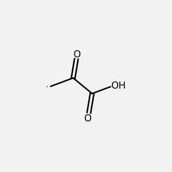 [CH2]C(=O)C(=O)O